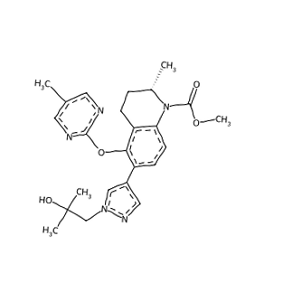 COC(=O)N1c2ccc(-c3cnn(CC(C)(C)O)c3)c(Oc3ncc(C)cn3)c2CC[C@@H]1C